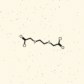 O=C(Cl)CSCCSCC(=O)Cl